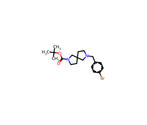 CC(C)(C)OC(=O)N1CCC2(CCN(Cc3ccc(Br)cc3)C2)C1